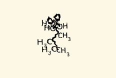 CC(C)CCCC(C)CCCC(C)CCCC(C)(O)C(CO)N(c1ccccc1)c1ccccc1